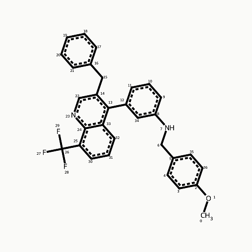 COc1ccc(CNc2cccc(-c3c(Cc4ccccc4)cnc4c(C(F)(F)F)cccc34)c2)cc1